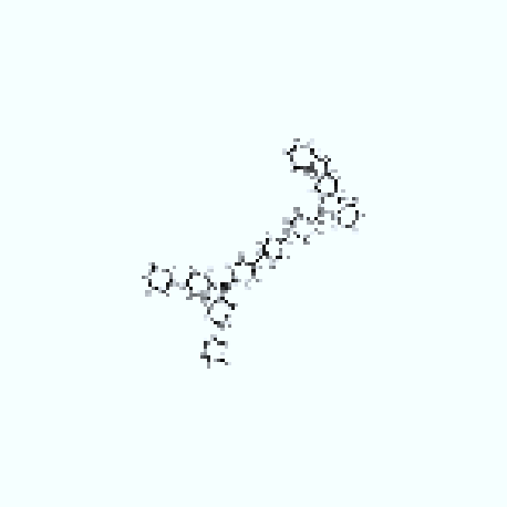 c1ccc(-c2ccc3c(c2)c2cc(-c4ccccc4)ccc2n3-c2ccc(-c3ccc(-c4ccc(-n5c6ccccc6c6cc7oc8ccccc8c7cc65)cc4)cc3)cc2)cc1